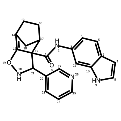 O=C(Nc1ccc2cc[nH]c2c1)C12C(=C3CCC1C3)ONC2c1cccnc1